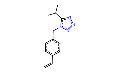 C=Cc1ccc(Cn2nnnc2C(C)C)cc1